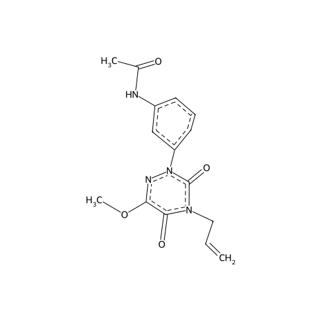 C=CCn1c(=O)c(OC)nn(-c2cccc(NC(C)=O)c2)c1=O